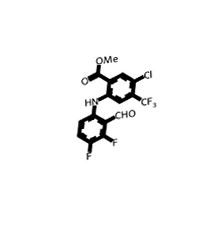 COC(=O)c1cc(Cl)c(C(F)(F)F)cc1Nc1ccc(F)c(F)c1C=O